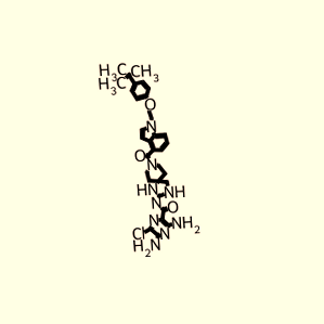 CC(C)(C)c1ccc(OCCn2ccc3c(C(=O)N4CCC5(CC4)CN/C(=N\C(=O)c4nc(Cl)c(N)nc4N)N5)cccc32)cc1